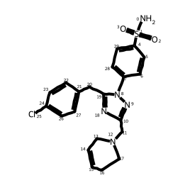 NS(=O)(=O)c1ccc(-n2nc(CN3CC=CCC3)nc2Cc2ccc(Cl)cc2)cc1